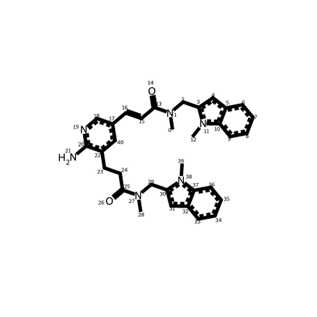 CN(Cc1cc2ccccc2n1C)C(=O)/C=C/c1cnc(N)c(CCC(=O)N(C)Cc2cc3ccccc3n2C)c1